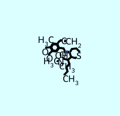 C=C=Cc1c(C)c2c(c(O)c1C/C=C1\CCCSCC1C(CCCCC)C(=O)N(C)C)C(=O)OC2